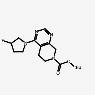 CC(C)(C)OC(=O)N1CCc2c(ncnc2N2CCC(F)C2)C1